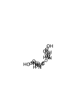 CC(C)[C@H](NC(=O)N1CCC(O)CC1)C(=O)N1CCC[C@H]1c1ncc(-c2ccc(C34CCC(c5cnc([C@@H]6CCCN6C(=O)[C@@H](NC(=O)N6CCC(O)CC6)C(C)C)[nH]5)(CC3)CC4)cc2)[nH]1